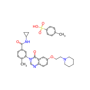 Cc1ccc(C(=O)NC2CC2)cc1-n1cnc2ccc(OCCN3CCCCC3)cc2c1=O.Cc1ccc(S(=O)(=O)O)cc1